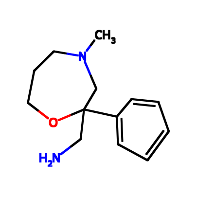 CN1CCCOC(CN)(c2ccccc2)C1